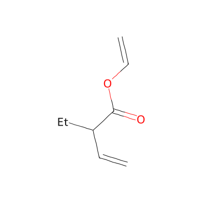 C=COC(=O)C(C=C)CC